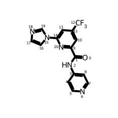 O=C(Nc1ccncc1)c1cc(C(F)(F)F)cc(-n2ccnc2)n1